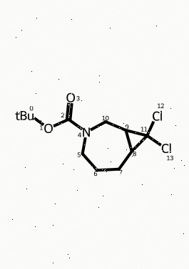 CC(C)(C)OC(=O)N1CCCC2C(C1)C2(Cl)Cl